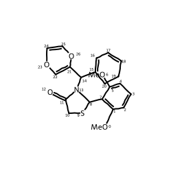 COc1cccc(OC)c1C1SCC(=O)N1C(C1=CC=CCC1)C1=COC=CO1